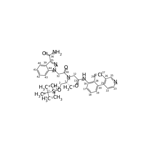 C[C@H](CO[Si](C)(C)C(C)(C)C)N(CC(=O)Nc1cccc(-c2ccncc2Cl)c1F)C(=O)Cn1nc(C(N)=O)c2ccccc21